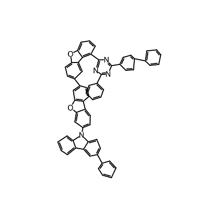 c1ccc(-c2ccc(-c3nc(-c4ccccc4)nc(-c4cccc5oc6ccc(-c7ccc8c(c7)oc7cc(-n9c%10ccccc%10c%10cc(-c%11ccccc%11)ccc%109)ccc78)cc6c45)n3)cc2)cc1